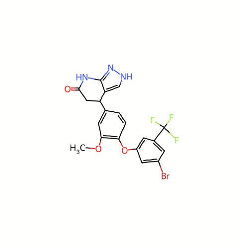 COc1cc(C2CC(=O)Nc3n[nH]cc32)ccc1Oc1cc(Br)cc(C(F)(F)F)c1